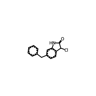 O=C1Nc2cc(Cc3ccccc3)ccc2C1Cl